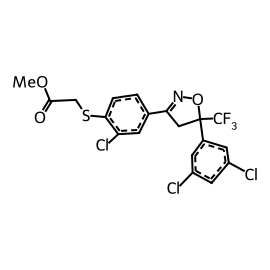 COC(=O)CSc1ccc(C2=NOC(c3cc(Cl)cc(Cl)c3)(C(F)(F)F)C2)cc1Cl